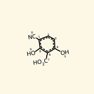 N#Cc1ccc(O)c(C(=O)O)c1O